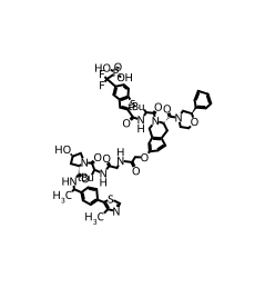 Cc1ncsc1-c1ccc(C(C)NC(=O)[C@@H]2C[C@@H](O)CN2C(=O)C(NC(=O)CNC(=O)COc2ccc3c(c2)CN(C(=O)C(NC(=O)c2cc4cc(C(F)(F)P(=O)(O)O)ccc4s2)C(C)(C)C)[C@H](C(=O)N2CCO[C@H](c4ccccc4)C2)C3)C(C)(C)C)cc1